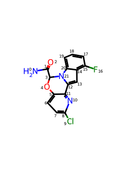 NC(=O)C1Oc2ccc(Cl)nc2-c2cc3c(F)cccc3n21